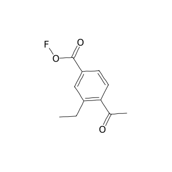 CCc1cc(C(=O)OF)ccc1C(C)=O